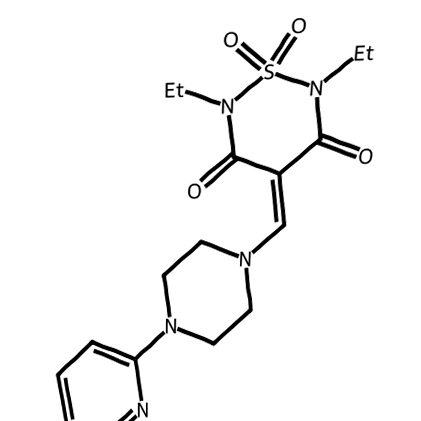 CCN1C(=O)C(=CN2CCN(c3ccccn3)CC2)C(=O)N(CC)S1(=O)=O